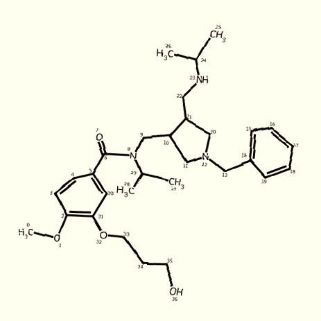 COc1ccc(C(=O)N(CC2CN(Cc3ccccc3)CC2CNC(C)C)C(C)C)cc1OCCCO